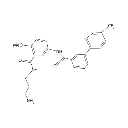 COc1ccc(NC(=O)c2cccc(-c3ccc(C(F)(F)F)cc3)c2)cc1C(=O)NCCCN